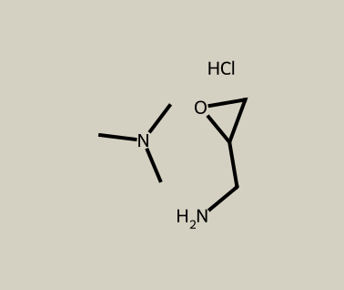 CN(C)C.Cl.NCC1CO1